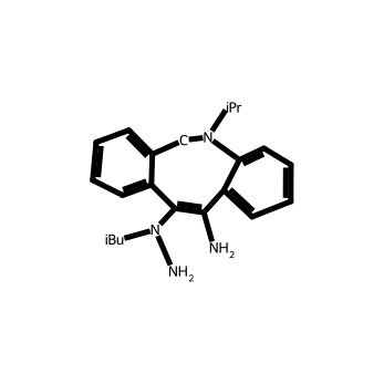 CCC(C)N(N)/C1=C(\N)c2ccccc2N(C(C)C)Cc2ccccc21